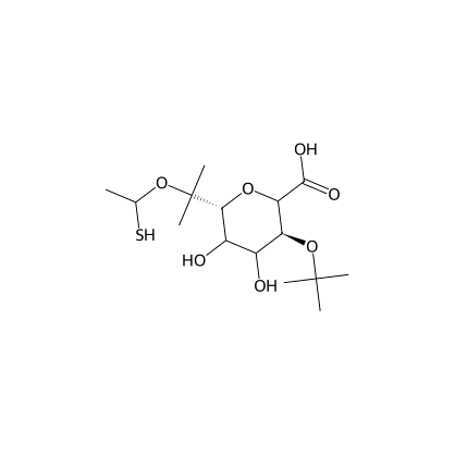 CC(S)OC(C)(C)[C@@H]1OC(C(=O)O)[C@@H](OC(C)(C)C)C(O)C1O